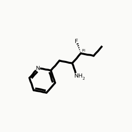 CC[C@@H](F)C(N)Cc1ccccn1